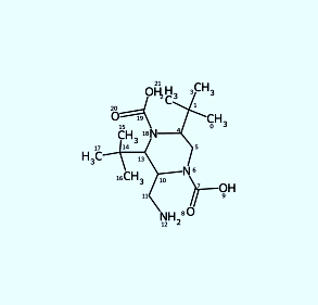 CC(C)(C)C1CN(C(=O)O)C(CN)C(C(C)(C)C)N1C(=O)O